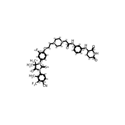 Cc1c(N2C(=O)C(C)(C)N(c3ccc(OCCN4CCN(CC(=O)Nc5cccc(NC6CCC(=O)NC6=O)c5)CC4)c(F)c3)C2=S)ccc(C#N)c1C(F)(F)F